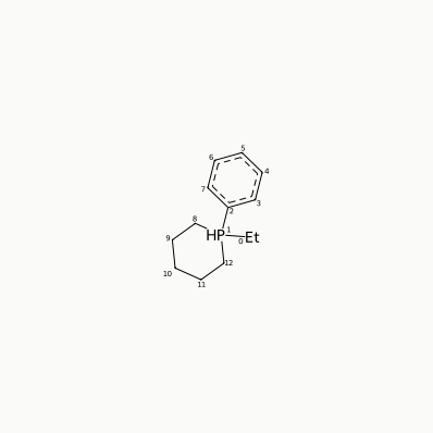 CC[PH]1(c2ccccc2)CCCCC1